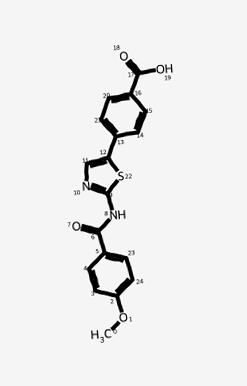 COc1ccc(C(=O)Nc2ncc(-c3ccc(C(=O)O)cc3)s2)cc1